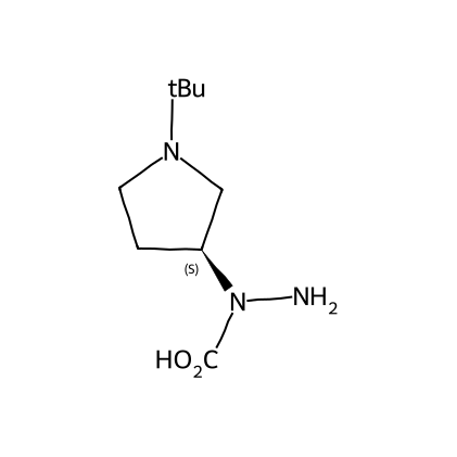 CC(C)(C)N1CC[C@H](N(N)C(=O)O)C1